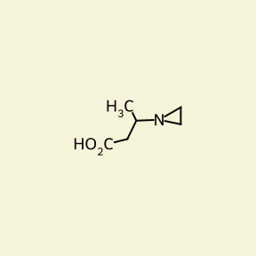 CC(CC(=O)O)N1CC1